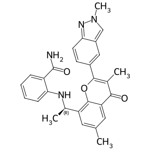 Cc1cc([C@@H](C)Nc2ccccc2C(N)=O)c2oc(-c3ccc4nn(C)cc4c3)c(C)c(=O)c2c1